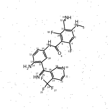 CNc1cc(F)c(C(=O)Nc2ccc(N)c(C(=N)c3cnccc3C(F)(F)F)c2)c(F)c1C=N